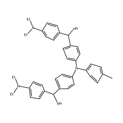 CCCC(c1ccc(N(CC)CC)cc1)c1ccc(N(c2ccc(C)cc2)c2ccc(C(CCC)c3ccc(N(CC)CC)cc3)cc2)cc1